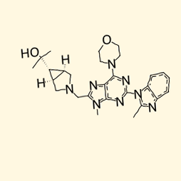 Cc1nc2ccccc2n1-c1nc(N2CCOCC2)c2nc(CN3C[C@@H]4[C@H](C3)[C@H]4C(C)(C)O)n(C)c2n1